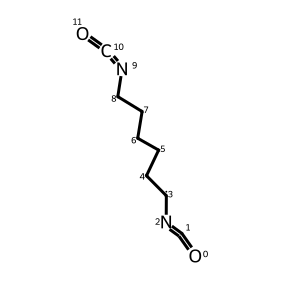 O=C=N[CH]CCCCCN=C=O